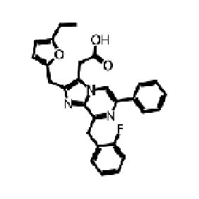 CCc1ccc(Cc2nc3c(Cc4ccccc4F)nc(-c4ccccc4)cn3c2CC(=O)O)o1